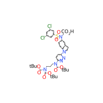 CC(C)(C)OC(=O)N(CCCN(C(=O)OC(C)(C)C)c1ccc(-n2ccc3cc(N(CC(=O)O)S(=O)(=O)c4cc(Cl)cc(Cl)c4)ccc32)nn1)C(=O)OC(C)(C)C